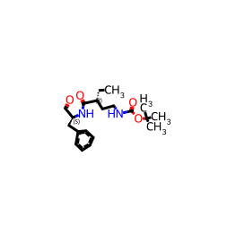 CC[C@H](CCNC(=O)OC(C)(C)C)C(=O)N[C@H](C=O)Cc1ccccc1